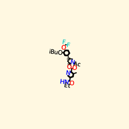 CCNC(=O)c1cnc(C(=O)O[C@@H]2C[C@@H](c3ccc(OC(F)F)c(OCC(C)C)c3)CN2C(C)=O)c(C)c1